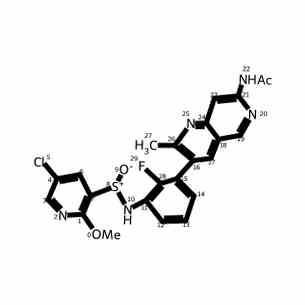 COc1ncc(Cl)cc1[S+]([O-])Nc1cccc(-c2cc3cnc(NC(C)=O)cc3nc2C)c1F